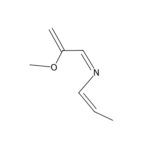 C=C(/C=N\C=C/C)OC